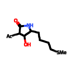 CSCCCCC1NC(=O)C(C(C)=O)C1O